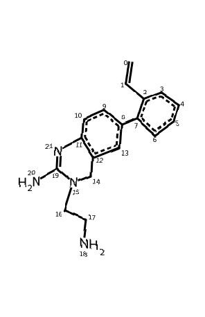 C=Cc1ccccc1-c1ccc2c(c1)CN(CCN)C(N)=N2